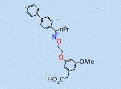 CCC/C(=N\OCCOc1cc(CC(=O)O)cc(OC)c1)c1ccc(-c2ccccc2)cc1